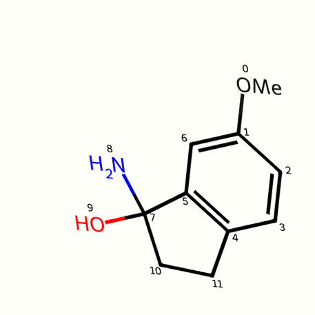 COc1ccc2c(c1)C(N)(O)CC2